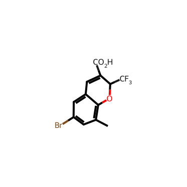 Cc1cc(Br)cc2c1OC(C(F)(F)F)C(C(=O)O)=C2